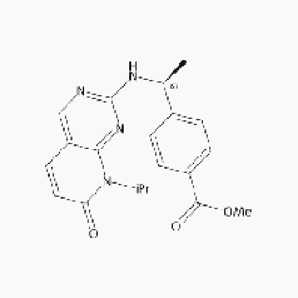 COC(=O)c1ccc([C@H](C)Nc2ncc3ccc(=O)n(C(C)C)c3n2)cc1